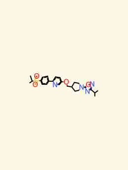 CC(C)c1noc(N2CCC(COc3ccc(-c4ccc(S(=O)(=O)C(C)C)cc4)nc3)CC2)n1